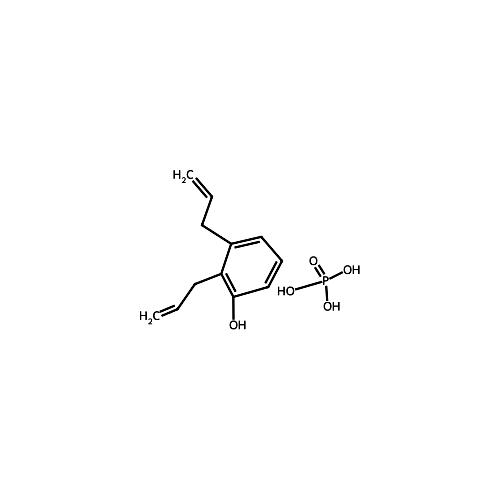 C=CCc1cccc(O)c1CC=C.O=P(O)(O)O